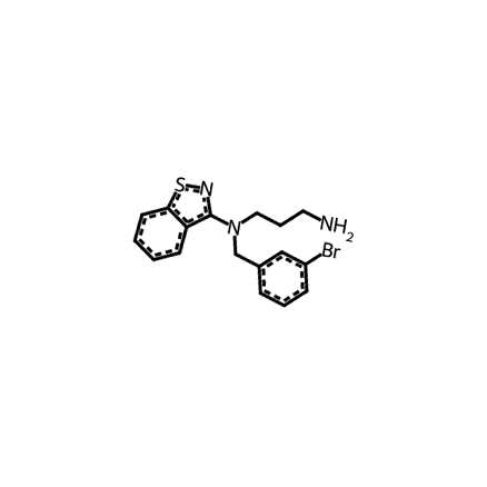 NCCCN(Cc1cccc(Br)c1)c1nsc2ccccc12